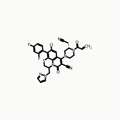 C=CC(=O)N1CCN(c2c(C#N)c(=O)n3c4c(c(-c5ccc(F)cc5F)c(Cl)cc24)SCC3Cn2cccn2)C[C@@H]1CC#N